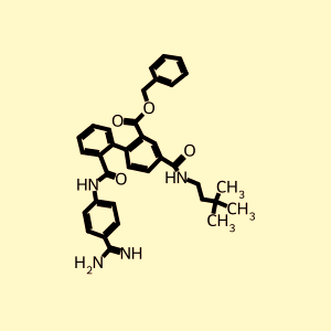 CC(C)(C)CCNC(=O)c1ccc(-c2ccccc2C(=O)Nc2ccc(C(=N)N)cc2)c(C(=O)OCc2ccccc2)c1